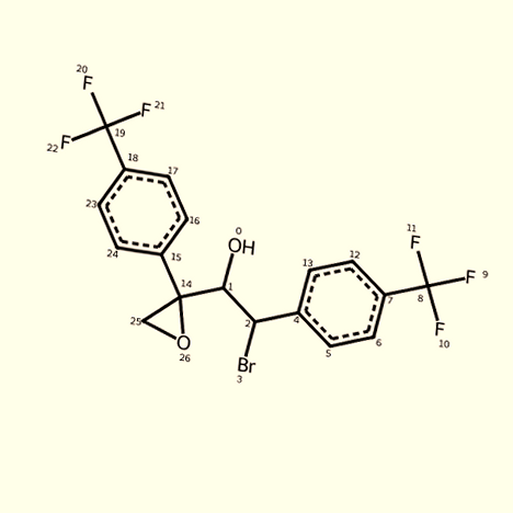 OC(C(Br)c1ccc(C(F)(F)F)cc1)C1(c2ccc(C(F)(F)F)cc2)CO1